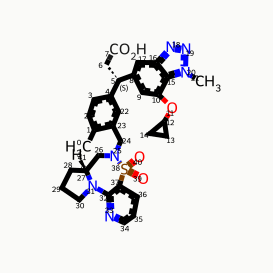 Cc1ccc([C@H](CC(=O)O)c2cc(OC3CC3)c3c(c2)nnn3C)cc1CN1C[C@H]2CCCN2c2ncccc2S1(=O)=O